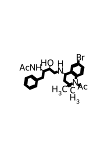 CC(=O)N[C@@H](Cc1ccccc1)[C@H](O)CN[C@H]1CC(C)(C)N(C(C)=O)c2ccc(Br)cc21